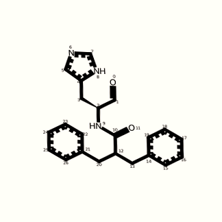 O=C[C@H](Cc1cnc[nH]1)NC(=O)C(Cc1ccccc1)Cc1ccccc1